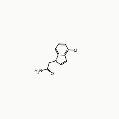 NC(=O)Cn1ccc2c(Cl)cccc21